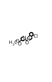 COC(=O)c1ccnc(C(=O)N2C=Cc3c(Cl)cccc3C2)c1